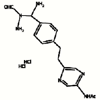 CC(=O)Nc1cnc(CCc2ccc(C(N)N(N)C=O)cc2)cn1.Cl.Cl